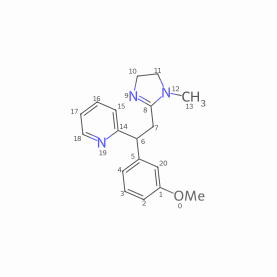 COc1cccc(C(CC2=NCCN2C)c2ccccn2)c1